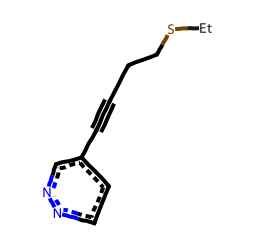 CCSCCC#Cc1ccnnc1